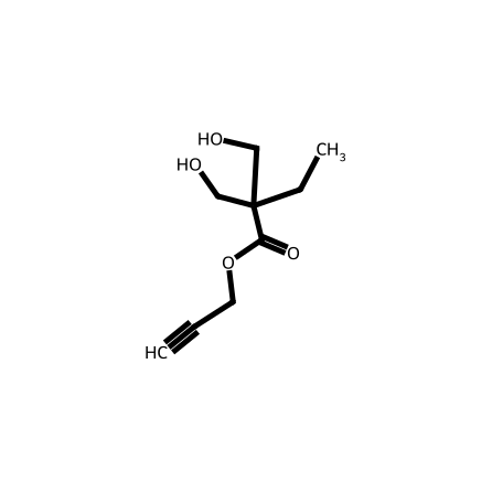 C#CCOC(=O)C(CC)(CO)CO